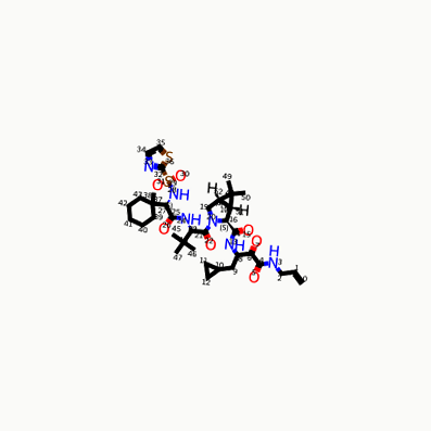 C=CCNC(=O)C(=O)C(CC1CC1)NC(=O)[C@@H]1[C@@H]2[C@H](CN1C(=O)[C@@H](NC(=O)[C@@H](NS(=O)(=O)c1nccs1)C1(C)CCCCC1)C(C)(C)C)C2(C)C